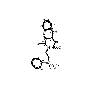 CCOC(=O)[C@@H](CCN[C@@H](C)C(=O)N(CC(=O)O)Nc1ccccc1)c1ccccc1